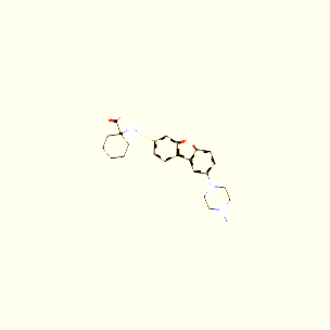 CN1CCN(c2ccc3oc4cc(S(=O)(=O)NC5(C(=O)O)CCCCC5)ccc4c3c2)CC1